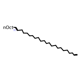 C=CCCCCCCCCCCCCCCCCCCC/C=C/CCCCCCCC